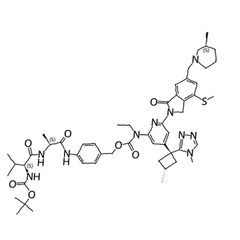 CCN(C(=O)OCc1ccc(NC(=O)[C@H](C)NC(=O)[C@@H](NC(=O)OC(C)(C)C)C(C)C)cc1)c1cc([C@]2(c3nncn3C)C[C@@H](C)C2)cc(N2Cc3c(SC)cc(CN4CCC[C@H](C)C4)cc3C2=O)n1